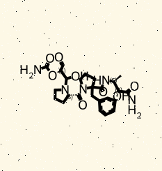 C[C@H](NC(=O)C1(Cc2ccccc2)CCCN1C(=O)[C@@H]1CCCN1C(O)[C@@H](C=O)OC(N)=O)[C@@H](O)C(N)=O